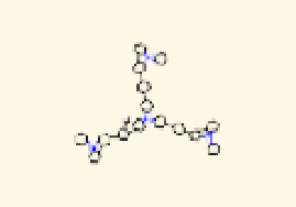 CC1(C)c2cc(-c3ccc4c(c3)c3ccccc3n4-c3ccccc3)ccc2-c2ccc(N(c3ccc(-c4ccc(-c5ccc6c(c5)c5ccccc5n6-c5ccccc5)cc4)cc3)c3ccc(-c4ccc(-c5ccc6c7ccccc7n(-c7ccccc7)c6c5)cc4)cc3)cc21